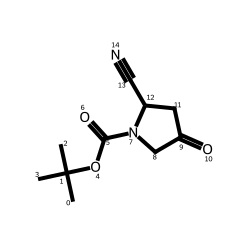 CC(C)(C)OC(=O)N1CC(=O)CC1C#N